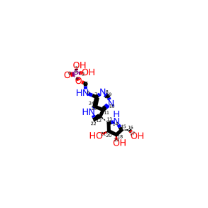 O=P(O)(O)OCNc1ncnc2c([C@@H]3N[C@H](CO)[C@@H](O)[C@H]3O)c[nH]c12